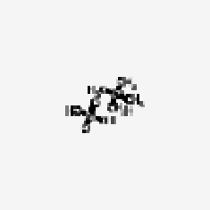 C[N+](C)(C)C.O=[Se](=O)(O)O.[H+]